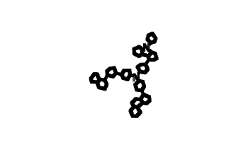 c1ccc(-n2c3ccccc3c3c(-c4ccc(N(c5ccc(-c6cccc(-c7cccc8ccccc78)c6)cc5)c5ccc(-c6cccc7c6ccc6ccccc67)cc5)cc4)cccc32)cc1